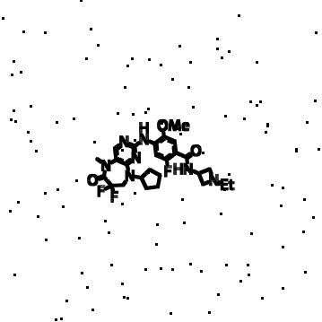 CCN1CC(NC(=O)c2cc(OC)c(Nc3ncc4c(n3)N(C3CCCC3)CC(F)(F)C(=O)N4C)cc2F)C1